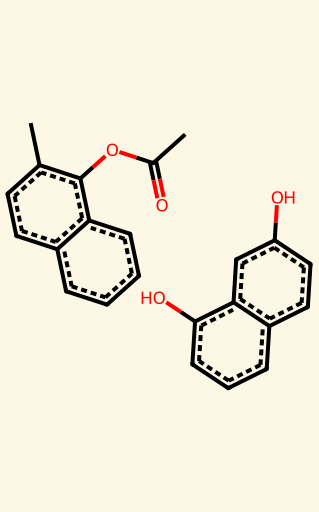 CC(=O)Oc1c(C)ccc2ccccc12.Oc1ccc2cccc(O)c2c1